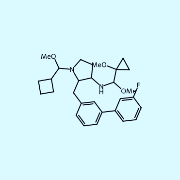 COC(C1CCC1)N1CCC(NC(OC)C2(OC)CC2)C1Cc1cccc(-c2cccc(F)c2)c1